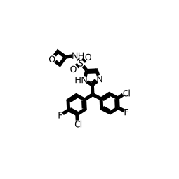 O=S(=O)(NC1COC1)c1cnc(C(c2ccc(F)c(Cl)c2)c2ccc(F)c(Cl)c2)[nH]1